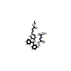 CCOC(=O)CCCN1CCC(OC(c2ccccc2)c2ccccc2)CC1.O=C(O)/C=C/C(=O)O